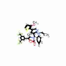 CCN(c1ncc(-c2sccc2OC)cc1CN1C(=O)OC(c2cc(C(F)(F)F)cc(C(F)(F)F)c2)[C@@H]1C)C1CCCCC1